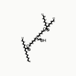 CCCCCCCCC(CCCCCC)C(=O)OCCCCCCN(CCO)CCCCCCOC(=O)C(CCCCCC)CCCCCCC